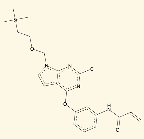 C=CC(=O)Nc1cccc(Oc2nc(Cl)nc3c2ccn3COCC[Si](C)(C)C)c1